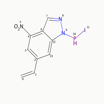 C=Cc1cc([N+](=O)[O-])c2cnn(PI)c2c1